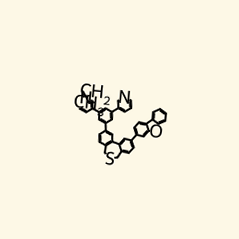 C=N/C=C(\C=C/C)c1cc(-c2cccnc2)cc(-c2ccc3c(c2)-c2cc(-c4ccc5c(c4)oc4ccccc45)ccc2CSC3)c1